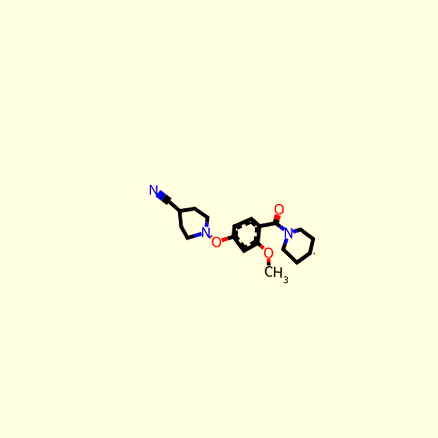 COc1cc(ON2CCC(C#N)CC2)ccc1C(=O)N1CC[CH]CC1